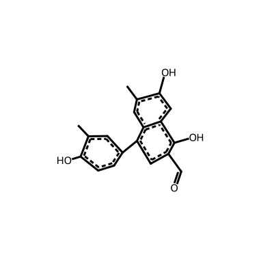 Cc1cc(-c2cc(C=O)c(O)c3cc(O)c(C)cc23)ccc1O